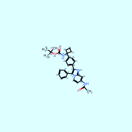 CC(=O)Nc1ccn2c(-c3ccccc3)c(-c3ccc(C4(NC(=O)OC(C)(C)C)CCC4)cc3)nc2c1